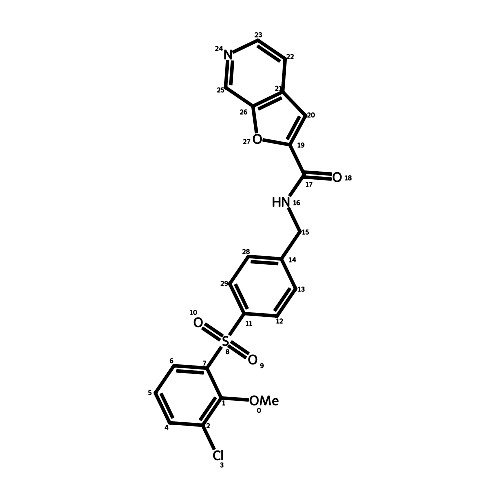 COc1c(Cl)cccc1S(=O)(=O)c1ccc(CNC(=O)c2cc3ccncc3o2)cc1